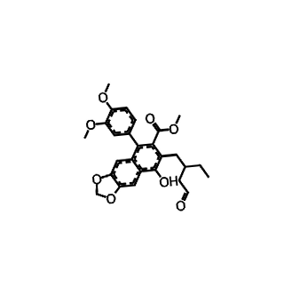 CCC(CC=O)Cc1c(C(=O)OC)c(-c2ccc(OC)c(OC)c2)c2cc3c(cc2c1O)OCO3